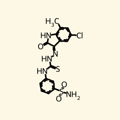 Cc1cc(Cl)cc2c1NC(=O)C2=NNC(=S)Nc1cccc(S(N)(=O)=O)c1